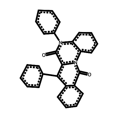 O=c1c2c(-c3ccccc3)c3ccccc3c(=O)n2c2ccccc2n1-c1ccccc1